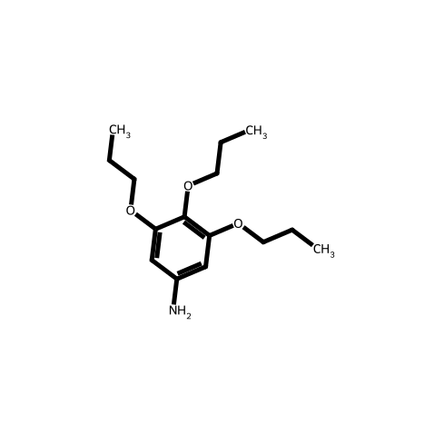 CCCOc1cc(N)cc(OCCC)c1OCCC